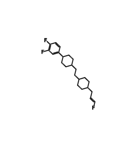 FC=CCC1CCC(CCC2CCC(c3ccc(F)c(F)c3)CC2)CC1